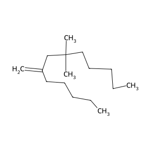 C=C(CCCCC)CC(C)(C)CCCCC